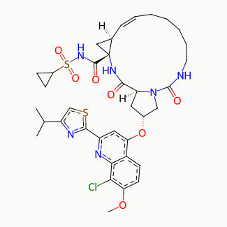 COc1ccc2c(O[C@@H]3C[C@H]4C(=O)N[C@]5(C(=O)NS(=O)(=O)C6CC6)C[C@H]5/C=C\CCCCCNC(=O)N4C3)cc(-c3nc(C(C)C)cs3)nc2c1Cl